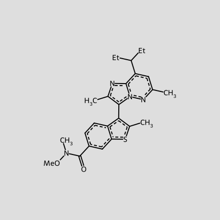 CCC(CC)c1cc(C)nn2c(-c3c(C)sc4cc(C(=O)N(C)OC)ccc34)c(C)nc12